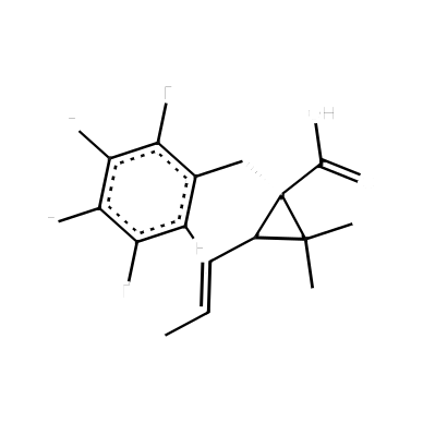 CC=CC1C(C)(C)[C@]1(Cc1c(F)c(F)c(F)c(F)c1F)C(=O)O